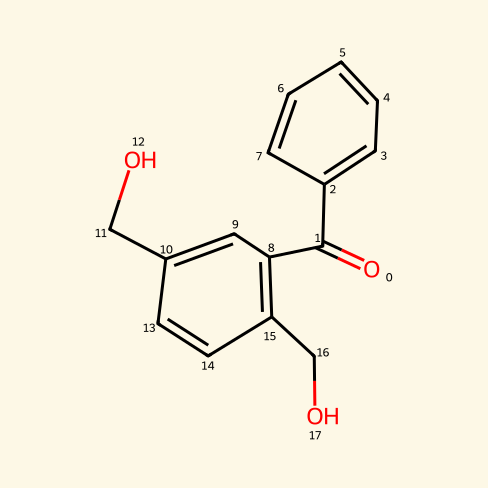 O=C(c1ccccc1)c1cc(CO)ccc1CO